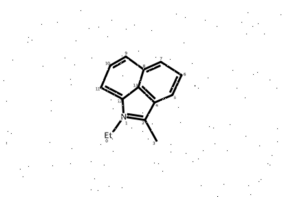 CC[N+]1=C(C)c2cccc3cccc1c23